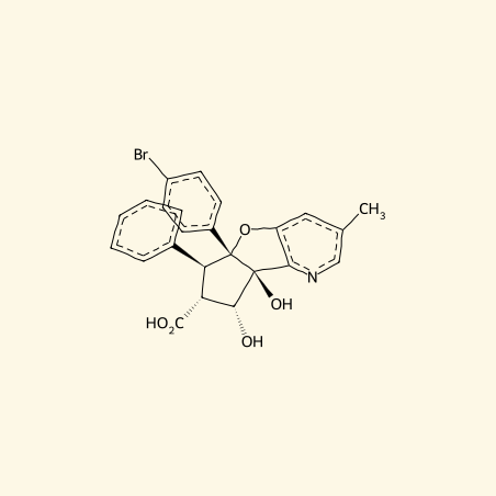 Cc1cnc2c(c1)O[C@@]1(c3ccc(Br)cc3)[C@H](c3ccccc3)[C@@H](C(=O)O)[C@@H](O)[C@@]21O